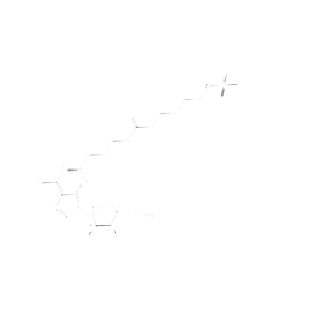 CSC[C@H]1O[C@@H](n2cnc3c(N)nc(NCCNC(=O)CCCCCNS(C)(=O)=O)nc32)[C@H](O)[C@@H]1O